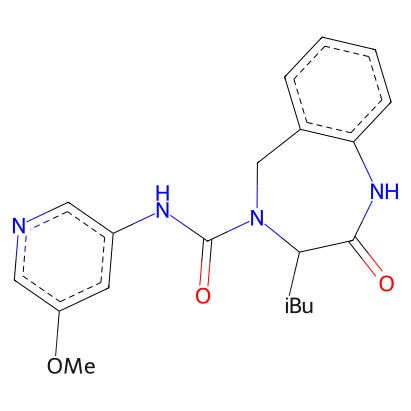 CCC(C)C1C(=O)Nc2ccccc2CN1C(=O)Nc1cncc(OC)c1